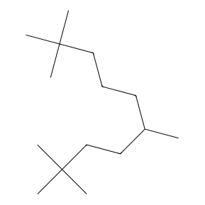 CC(CCCC(C)(C)C)CCC(C)(C)C